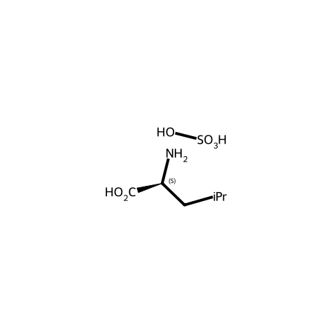 CC(C)C[C@H](N)C(=O)O.O=S(=O)(O)O